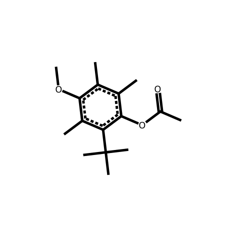 COc1c(C)c(C)c(OC(C)=O)c(C(C)(C)C)c1C